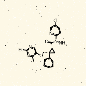 CCc1ncc(OC[C@@]2(c3ccccc3)C[C@H]2C(=O)N(N)c2ccc(Cl)cn2)c(C)n1